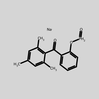 Cc1cc(C)c(C(=O)c2ccccc2O[PH2]=O)c(C)c1.[Na]